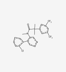 CN(C(=O)C(C)(C)c1cc(C(F)(F)F)cc(C(F)(F)F)c1)c1cnccc1-c1ccccc1Cl